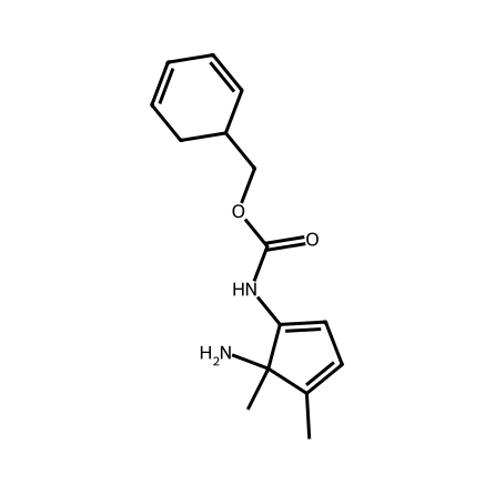 CC1=CC=C(NC(=O)OCC2C=CC=CC2)C1(C)N